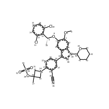 COc1cc2c(cc1O[C@H](C)c1c(Cl)cncc1Cl)c(-c1cnc(N3CC(C)(OS(C)(=O)=O)C3)c(C#N)c1)nn2C1CCCCO1